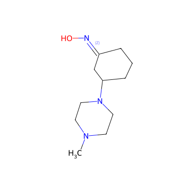 CN1CCN(C2CCC/C(=N/O)C2)CC1